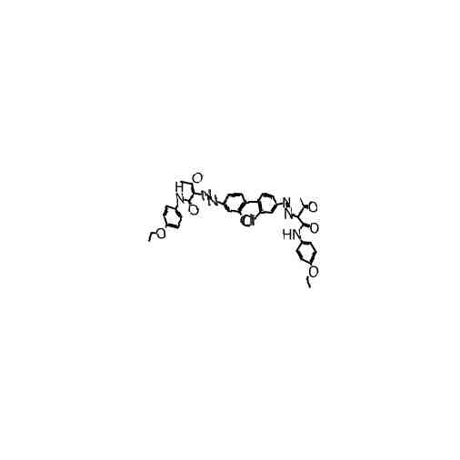 CCOc1ccc(NC(=O)C(N=Nc2ccc(-c3ccc(N=NC(C(C)=O)C(=O)Nc4ccc(OCC)cc4)cc3Cl)c(Cl)c2)C(C)=O)cc1